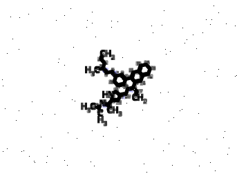 C=CC/C(C)=C\C=C1\C=C(c2cc3c(cc2/C(C=C)=C/C=C2C=C(/C(C)=N/C(C)C)NC/2)=CCCC=3)C=CC1